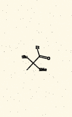 CCC(=O)C(C)(SC)C(C)(C)C